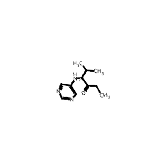 CCC(=O)[C@@H](Nc1cncnc1)C(C)C